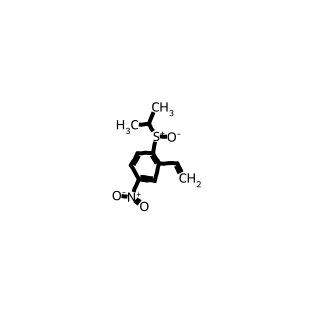 C=Cc1cc([N+](=O)[O-])ccc1[S+]([O-])C(C)C